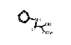 COC(O)C(=O)Nc1ccccc1